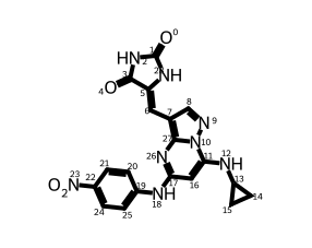 O=C1NC(=O)/C(=C/c2cnn3c(NC4CC4)cc(Nc4ccc([N+](=O)[O-])cc4)nc23)N1